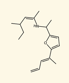 C=C/C=C(\C)c1ccc(C(C)N/C(C)=C\C(C)CC)o1